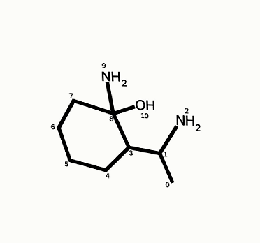 CC(N)C1CCCCC1(N)O